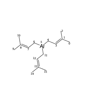 CC(C)=C[CH2][Al]([CH2]C=C(C)C)[CH2]C=C(C)C